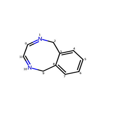 C1=N\Cc2ccccc2C\N=C/1